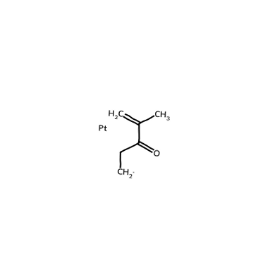 [CH2]CC(=O)C(=C)C.[Pt]